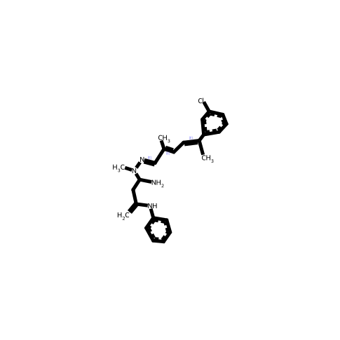 C=C(CC(N)N(C)/N=C/C(C)=C/C=C(\C)c1cccc(Cl)c1)Nc1ccccc1